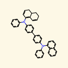 C1=CC2=C(N(c3ccccc3)c3ccc(-c4ccc(N(c5ccccc5)c5cccc6ccccc56)cc4)cc3)C=CCC2CC1